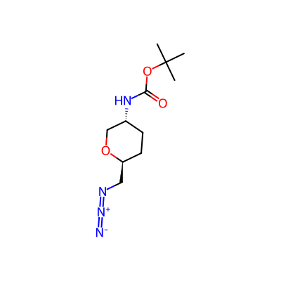 CC(C)(C)OC(=O)N[C@@H]1CC[C@@H](CN=[N+]=[N-])OC1